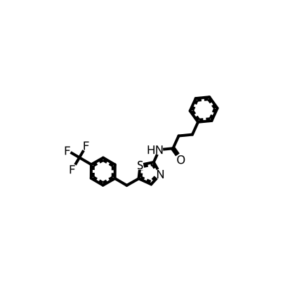 O=C(CCc1ccccc1)Nc1ncc(Cc2ccc(C(F)(F)F)cc2)s1